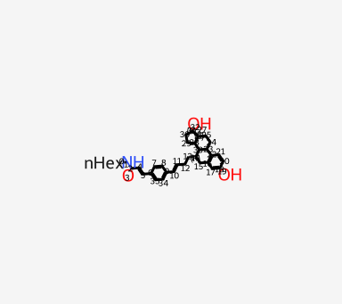 CCCCCCNC(=O)C=Cc1ccc(C=CCC[C@@H]2Cc3cc(O)ccc3C3CC[C@@]4(C)C(CC[C@@H]4O)C32)cc1